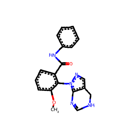 COc1cccc(C(=O)Nc2ccccc2)c1-n1ncc2c1N=CNC2